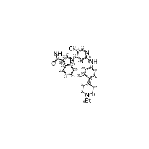 CCN1CCN(c2ccc(Nc3ncc(Cl)c(-n4cc(C(N)=O)c5ccccc54)n3)cc2C)CC1